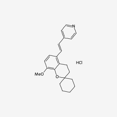 COc1ccc(C=Cc2ccncc2)c2c1OC1(CCCCC1)CC2.Cl